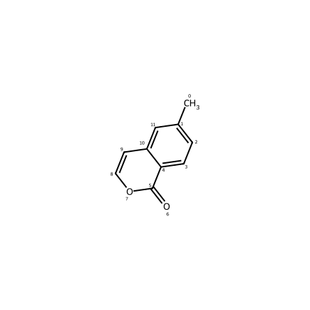 Cc1ccc2c(=O)occc2c1